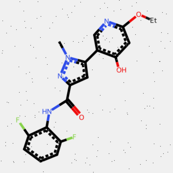 CCOc1cc(O)c(-c2cc(C(=O)Nc3c(F)cccc3F)nn2C)cn1